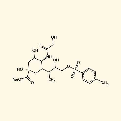 COC(=O)[C@@]1(O)CC(O)[C@@H](NC(=O)CO)C(C(C)C(O)COS(=O)(=O)c2ccc(C)cc2)C1